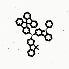 CC1(C)c2ccccc2-c2ccc(N(c3ccc4c(c3)C3(c5ccccc5-c5ccccc53)c3ccccc3-4)c3ccc4c(c3)c3ccccc3n4-c3ccccc3)cc21